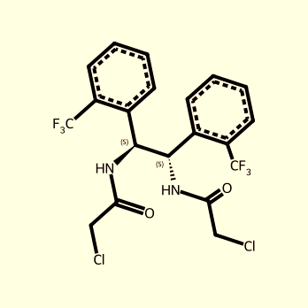 O=C(CCl)N[C@@H](c1ccccc1C(F)(F)F)[C@@H](NC(=O)CCl)c1ccccc1C(F)(F)F